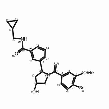 COc1cc(C(=O)N2CC(O)CC2c2cccc(C(=O)NCC3CC3)c2)ccc1Br